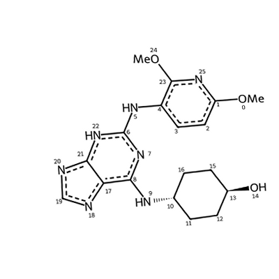 COc1ccc(Nc2nc(N[C@H]3CC[C@H](O)CC3)c3ncnc-3[nH]2)c(OC)n1